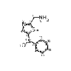 NCc1ncc([S+]([O-])c2ccccc2)s1